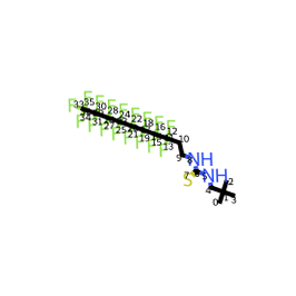 CC(C)(C)CNC(=S)NCCC(F)(F)C(F)(F)C(F)(F)C(F)(F)C(F)(F)C(F)(F)C(F)(F)C(F)(F)F